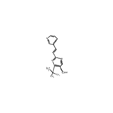 CC(C)(C)c1nc(C=Cc2cccnc2)ncc1O